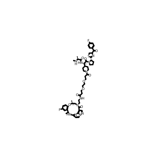 CN[C@@H](C)C(=O)N[C@H](C(=O)N1CCC[C@H]1C1=NC(C(=O)c2ccc(F)cc2)CS1)C1CCN(C(=O)CCOCCOCCC(=O)NCCN2C[C@H](C)Oc3ccc(F)cc3C(C)Nc3ccn4ncc(c4n3)C2=O)CC1